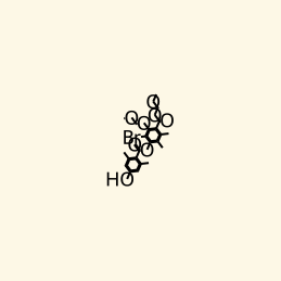 COCOC(=O)c1c(C)c(C)c(OC(=O)c2c(C)cc(O)cc2C)c(Br)c1OCOC